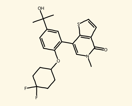 Cn1cc(-c2cc(C(C)(C)O)ccc2OC2CCC(F)(F)CC2)c2sccc2c1=O